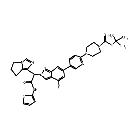 CC(C)(C)OC(=O)N1CCN(c2ccc(-c3cc(F)c4cn(C(C(=O)Nc5nccs5)c5ncn6c5CCC6)nc4c3)cn2)CC1